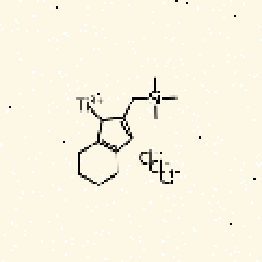 C[Si](C)(C)CC1=CC2=C(CCCC2)[CH]1[Ti+3].[Cl-].[Cl-].[Cl-]